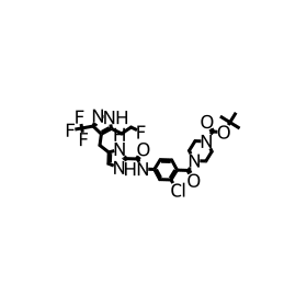 CC(C)(C)OC(=O)N1CCN(C(=O)c2ccc(NC(=O)c3ncc(Cc4c(C(F)(F)F)n[nH]c4CCF)[nH]3)cc2Cl)CC1